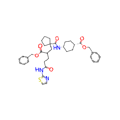 O=C(CCC(CC1(C(=O)N[C@H]2CC[C@@H](C(=O)OCc3ccccc3)CC2)CCCC1)C(=O)OCc1ccccc1)Nc1nccs1